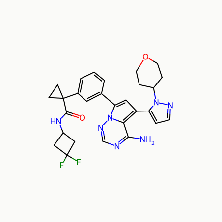 Nc1ncnn2c(-c3cccc(C4(C(=O)NC5CC(F)(F)C5)CC4)c3)cc(-c3ccnn3C3CCOCC3)c12